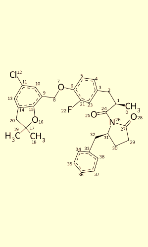 C[C@H](Cc1ccc(OCc2cc(Cl)cc3c2OC(C)(C)C3)c(F)c1)C(=O)N1C(=O)CC[C@H]1Cc1ccccc1